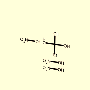 CCC(O)(O)O.O=[N+]([O-])O.O=[N+]([O-])O.O=[N+]([O-])O